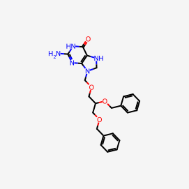 Nc1nc2c(c(=O)[nH]1)NCN2COCC(COCc1ccccc1)OCc1ccccc1